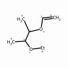 [CH2]C(OC=C)C(C)OCC